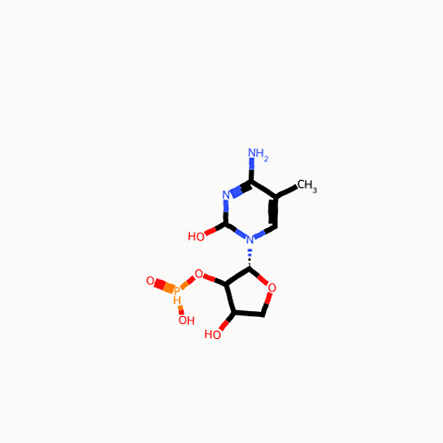 CC1=CN([C@@H]2OCC(O)C2O[PH](=O)O)C(O)N=C1N